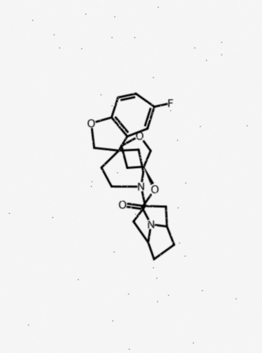 O=C(O[C@H]1CCOC1)N1C2CCC1CC(N1CCC3(CC1)COc1ccc(F)cc13)C2